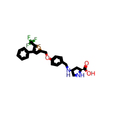 O=C(O)[C@@H]1C[C@H](NCc2ccc(OCc3cc(-c4ccccc4)c(C(F)(F)F)s3)cc2)CN1